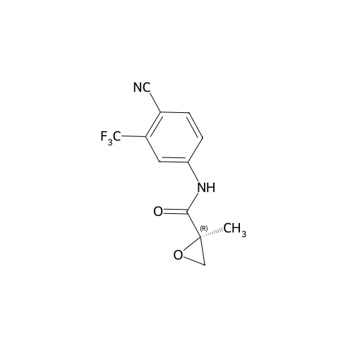 C[C@]1(C(=O)Nc2ccc(C#N)c(C(F)(F)F)c2)CO1